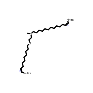 CCCCCC/C=C\CCCCCCCCCCCN(C)CCOCCCCCCCC/C=C\CCCCCC